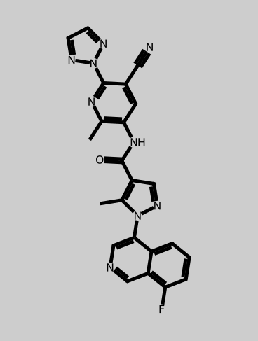 Cc1nc(-n2nccn2)c(C#N)cc1NC(=O)c1cnn(-c2cncc3c(F)cccc23)c1C